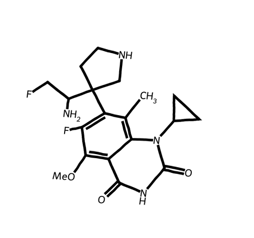 COc1c(F)c(C2(C(N)CF)CCNC2)c(C)c2c1c(=O)[nH]c(=O)n2C1CC1